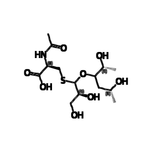 CC(=O)N[C@@H](CSC(OC(C[C@@H](C)O)[C@@H](C)O)[C@@H](O)CO)C(=O)O